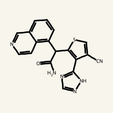 N#Cc1csc(C(C(N)=O)c2cccc3cnccc23)c1-c1ncn[nH]1